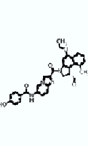 CCOc1cc2c(c3c(C)cccc13)[C@H](CCl)CN2C(=O)c1cn2cc(NC(=O)c3ccc(O)cc3)ccc2n1